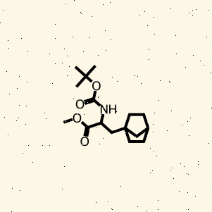 COC(=O)C(CC12CCC(CC1)C2)NC(=O)OC(C)(C)C